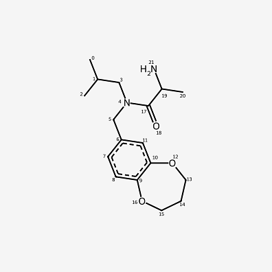 CC(C)CN(Cc1ccc2c(c1)OCCCO2)C(=O)C(C)N